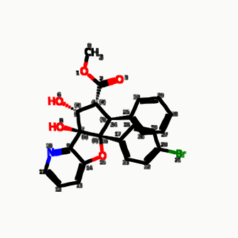 COC(=O)[C@H]1[C@@H](O)[C@@]2(O)c3ncccc3O[C@@]2(c2ccc(Br)cc2)[C@@H]1c1ccccc1